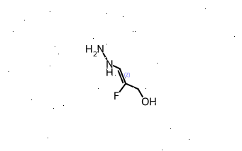 NN/C=C(\F)CO